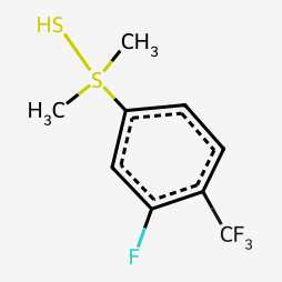 CS(C)(S)c1ccc(C(F)(F)F)c(F)c1